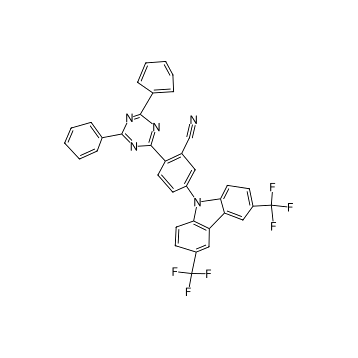 N#Cc1cc(-n2c3ccc(C(F)(F)F)cc3c3cc(C(F)(F)F)ccc32)ccc1-c1nc(-c2ccccc2)nc(-c2ccccc2)n1